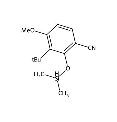 COc1ccc(C#N)c(O[SiH](C)C)c1C(C)(C)C